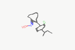 CCC(C)c1ccc(C2CCCCC2=NO)c(Cl)c1